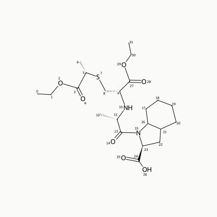 CCOC(=O)[C@H](C)SC[C@@H](N[C@@H](C)C(=O)N1C2CCCCC2C[C@H]1C(=O)O)C(=O)OCC